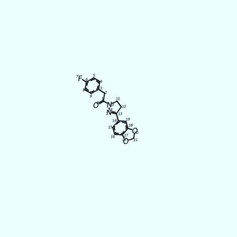 O=C(Cc1ccc(F)cc1)N1CCC(c2ccc3c(c2)OCO3)=N1